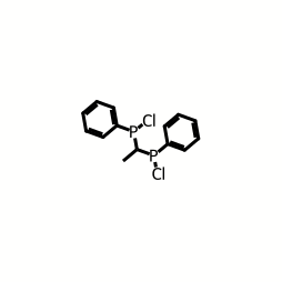 CC(P(Cl)c1ccccc1)P(Cl)c1ccccc1